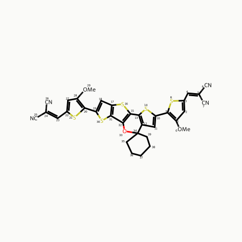 COc1cc(C=C(C#N)C#N)sc1-c1cc2c(s1)-c1sc3cc(-c4sc(C=C(C#N)C#N)cc4OC)sc3c1OC21CCCCC1